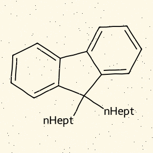 CCCCCCCC1(CCCCCCC)c2ccccc2-c2ccccc21